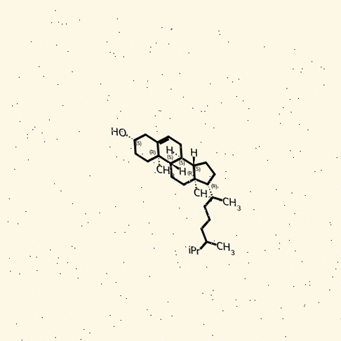 CC(C)C(C)CCCC(C)[C@H]1CC[C@H]2[C@@H]3CC=C4C[C@@H](O)CC[C@]4(C)[C@H]3CC[C@]12C